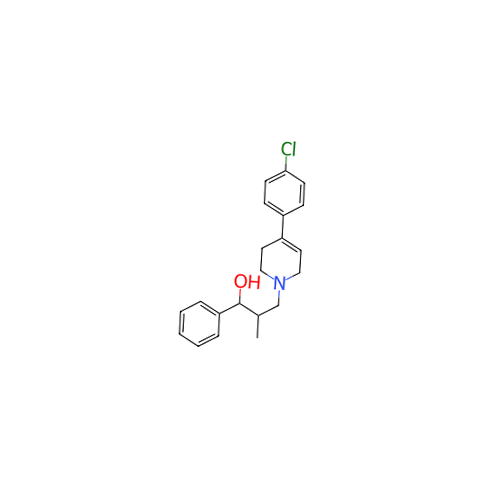 CC(CN1CC=C(c2ccc(Cl)cc2)CC1)C(O)c1ccccc1